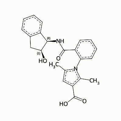 Cc1cc(C(=O)O)c(C)n1-c1ccccc1C(=O)N[C@@H]1c2ccccc2C[C@@H]1O